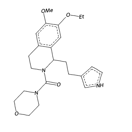 CCOc1cc2c(cc1OC)CCN(C(=O)N1CCOCC1)C2CCc1cc[nH]c1